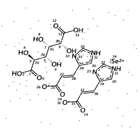 O=C(O)[C@@H](O)[C@@H](O)[C@H](O)[C@@H](O)C(=O)O.O=C([O-])C=Cc1c[nH]cn1.O=C([O-])C=Cc1c[nH]cn1.[Se+2]